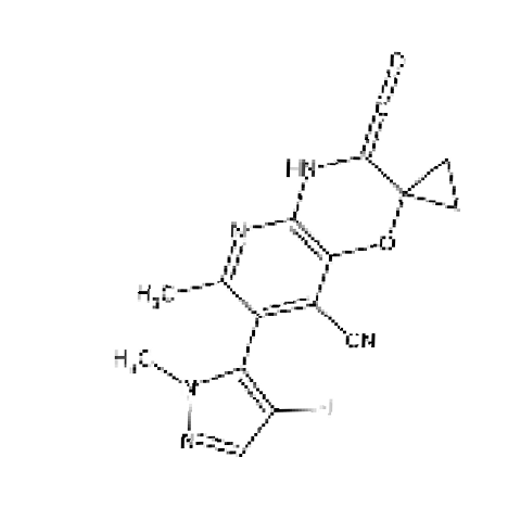 Cc1nc2c(c(C#N)c1-c1c(I)cnn1C)OC1(CC1)C(=C=O)N2